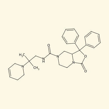 CC(C)(CNC(=O)N1CCN2C(=O)OC(c3ccccc3)(c3ccccc3)C2C1)N1CC=CCC1